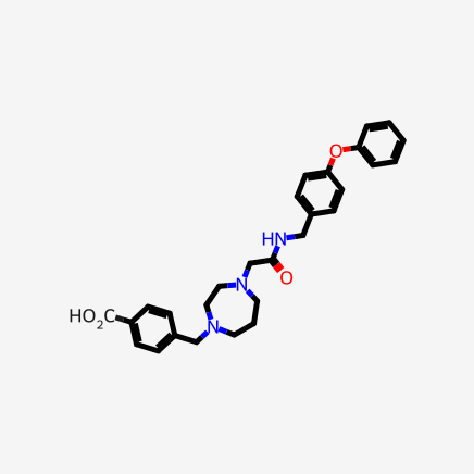 O=C(CN1CCCN(Cc2ccc(C(=O)O)cc2)CC1)NCc1ccc(Oc2ccccc2)cc1